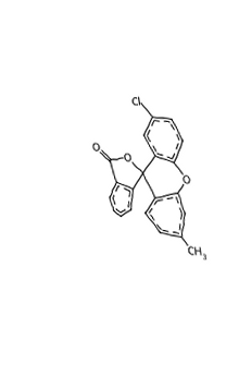 Cc1ccc2c(c1)Oc1ccc(Cl)cc1C21OC(=O)c2ccccc21